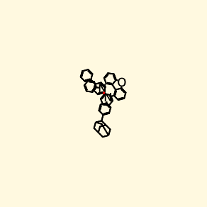 c1ccc(-c2ccc(N(c3ccc(C4C5CC6CC(C5)CC4C6)cc3)c3cccc4oc5cccc(N(c6ccccc6)c6ccccc6)c5c34)cc2)cc1